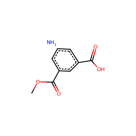 COC(=O)c1cccc(C(=O)O)c1.N